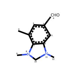 Cc1cc(C=O)cc2c1N(C)CN2C